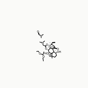 C=C[C@@]1(C)CC(=O)[C@]2(O)[C@@]3(C)[C@@H](O)CCC(C)(C)[C@@H]3[C@H](O)[C@H](OC(=O)CN(C)C)[C@@]2(C)O1.CCOC(C)OCC.CN(C)C=O